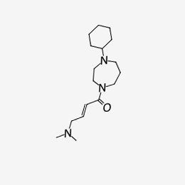 CN(C)C/C=C/C(=O)N1CCCN(C2CCCCC2)CC1